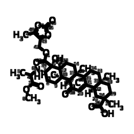 COC(=O)C(C)N[C@H]1CC[C@@]2(C)[C@@H](CC[C@]3(C)[C@@H]2C(=O)C=C2[C@@H]4C[C@@](C)(C(=O)O)CC[C@]4(C)CC[C@]23C)[C@]1(C)C(=O)OCc1oc(=O)oc1C